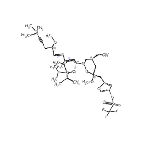 CO[C@@H](/C=C/C(C)=C/[C@@H](O[Si](C(C)C)(C(C)C)C(C)C)[C@H]1C[C@@H](CO)C[C@](Cc2nc(OS(=O)(=O)C(F)(F)F)co2)(OC)O1)CC#C[Si](C)(C)C